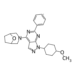 COC1CCC(n2ncc3c(N4CC5CCC(C4)O5)nc(-c4cc[c]cc4)nc32)CC1